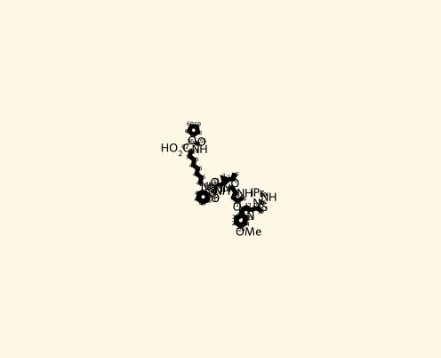 C=CC1CC1(NC(=O)C1CC(Oc2cc(-c3csc(NC(C)C)n3)nc3cc(OC)ccc23)CN1)C(=O)NS(=O)(=O)c1ccccc1NCCCCCCCC(NC(=O)OC1CCCC1)C(=O)O